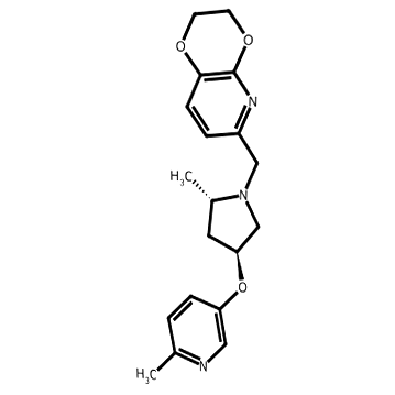 Cc1ccc(O[C@H]2C[C@H](C)N(Cc3ccc4c(n3)OCCO4)C2)cn1